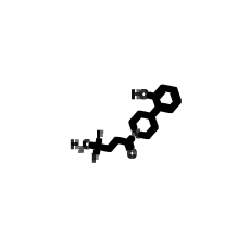 CC(F)(F)CCC(=O)N1CCC(c2ccccc2O)CC1